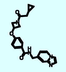 O=C(NCc1ccn2ccnc2c1)c1ccc(OC2CN(C(=O)CC3CC3)C2)cc1